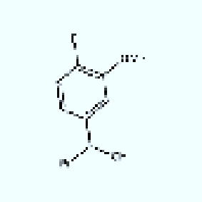 COc1cc(C(O)C(C)C)ccc1F